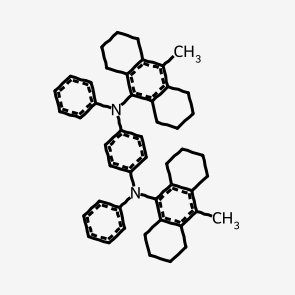 Cc1c2c(c(N(c3ccccc3)c3ccc(N(c4ccccc4)c4c5c(c(C)c6c4CCCC6)CCCC5)cc3)c3c1CCCC3)CCCC2